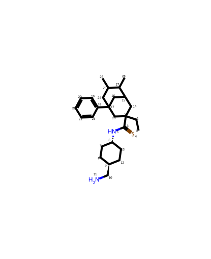 CCC1(C(=S)N[C@H]2CC[C@H](CN)CC2)CC2CC(c3ccccc3)(CC(C)C2C)C1